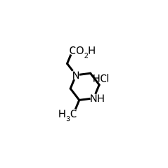 CC1CN(CC(=O)O)CCN1.Cl